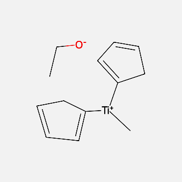 CC[O-].[CH3][Ti+]([C]1=CC=CC1)[C]1=CC=CC1